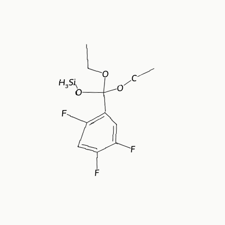 CCOC(O[SiH3])(OCC)c1cc(F)c(F)cc1F